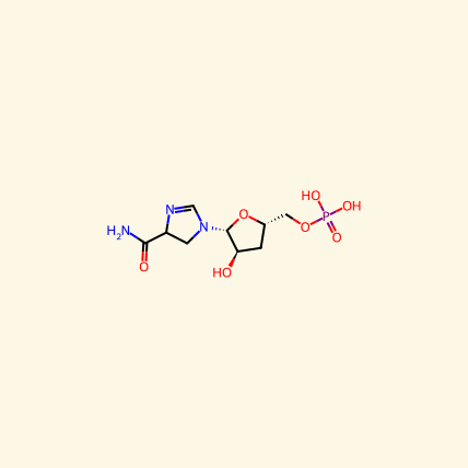 NC(=O)C1CN([C@@H]2O[C@H](COP(=O)(O)O)C[C@H]2O)C=N1